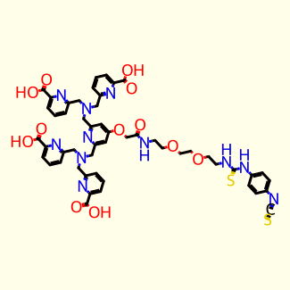 O=C(COc1cc(CN(Cc2cccc(C(=O)O)n2)Cc2cccc(C(=O)O)n2)nc(CN(Cc2cccc(C(=O)O)n2)Cc2cccc(C(=O)O)n2)c1)NCCOCCOCCNC(=S)Nc1ccc(N=C=S)cc1